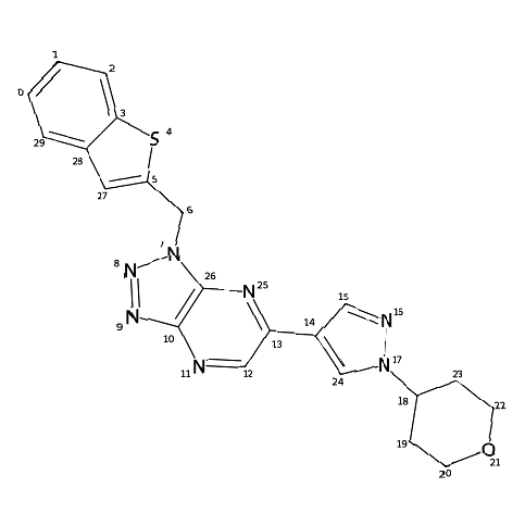 c1ccc2sc(Cn3nnc4ncc(-c5cnn(C6CCOCC6)c5)nc43)cc2c1